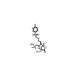 CC(=O)O[C@@]12C[C@@H](OC1=O)/C(=C/CCOS(=O)(=O)c1ccc(C)cc1)[C@H](O[Si](C)(C)C(C)(C)C)C2